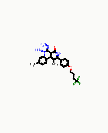 Cc1ccc(-c2c(C)c(-c3ccc(OCCCC(F)(F)F)cc3)[nH]c(=O)c2/C(=N/N)NN)cc1